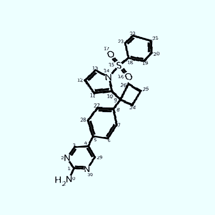 Nc1ncc(-c2ccc(C3(c4cccn4S(=O)(=O)c4ccccc4)CCC3)cc2)cn1